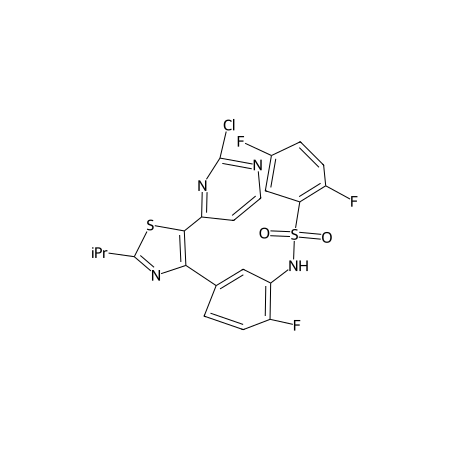 CC(C)c1nc(-c2ccc(F)c(NS(=O)(=O)c3cc(F)ccc3F)c2)c(-c2ccnc(Cl)n2)s1